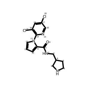 O=C(NCC1CCNC1)c1cccn1-c1ncc(Cl)cc1Cl